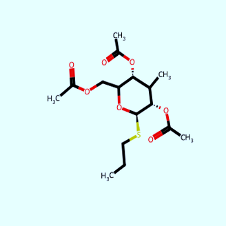 CCCS[C@H]1OC(COC(C)=O)[C@H](OC(C)=O)C(C)[C@@H]1OC(C)=O